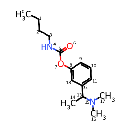 CCCCNC(=O)Oc1cccc(C(C)N(C)C)c1